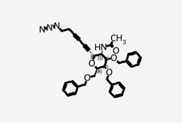 CC(=O)N[C@@H]1[C@@H](OCc2ccccc2)[C@@H](OCc2ccccc2)[C@@H](COCc2ccccc2)O[C@@H]1C#CC#CCCN=[N+]=[N-]